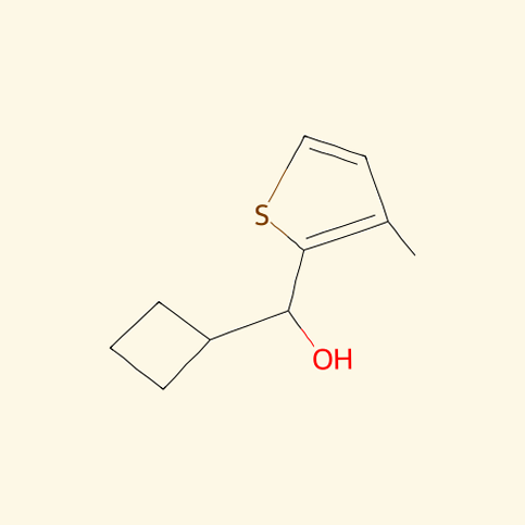 Cc1ccsc1C(O)C1CCC1